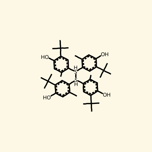 Cc1cc(O)c(C(C)(C)C)cc1[SH](c1cc(C(C)(C)C)c(O)cc1C)[SH](c1cc(C(C)(C)C)c(O)cc1C)c1cc(C(C)(C)C)c(O)cc1C